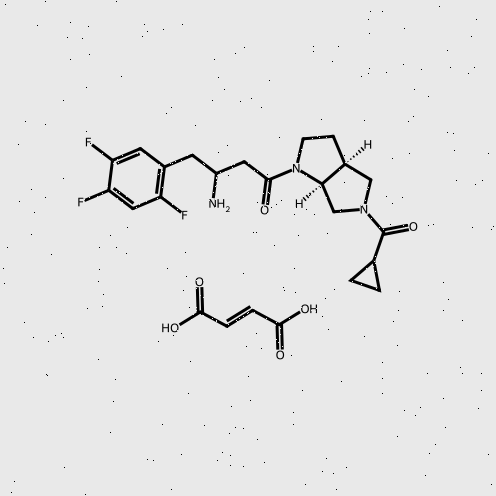 NC(CC(=O)N1CC[C@H]2CN(C(=O)C3CC3)C[C@H]21)Cc1cc(F)c(F)cc1F.O=C(O)C=CC(=O)O